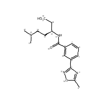 Cc1nc(-c2cccc(C(=O)N[C@@H](CCN(C)C)CC(=O)O)c2)no1